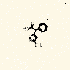 Cc1cc(N(C(=O)O)c2ccccc2)sn1